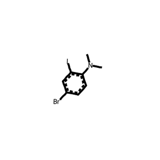 CN(C)c1ccc(Br)cc1I